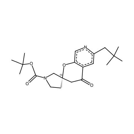 CC(C)(C)Cc1cc2c(cn1)O[C@@]1(CCN(C(=O)OC(C)(C)C)C1)CC2=O